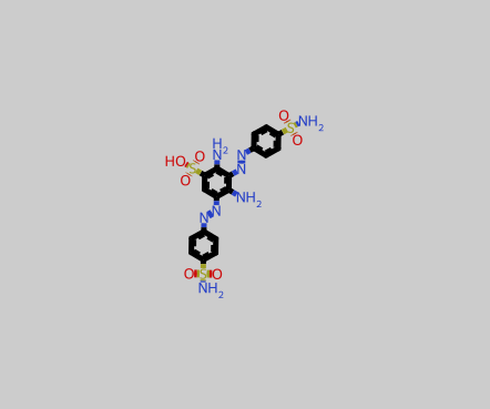 Nc1c(/N=N/c2ccc(S(N)(=O)=O)cc2)cc(S(=O)(=O)O)c(N)c1/N=N/c1ccc(S(N)(=O)=O)cc1